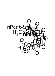 CCCCCC([SiH3])C(C)C(CCCCC)C(C)C(CCCCC)C(C)(OCC1CO1)OC(C)(OCC1CO1)OC(C)(OCC1CO1)OC(C)(OCC1CO1)OC(C)(OCC1CO1)OC(C)(OCC1CO1)OC(C)(OCC)OCC1CO1